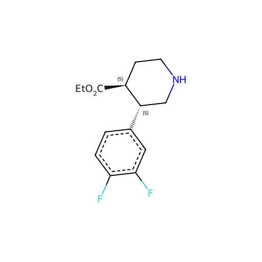 CCOC(=O)[C@H]1CCNC[C@@H]1c1ccc(F)c(F)c1